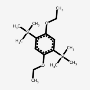 CCOc1cc([Si](C)(C)C)c(OCC)cc1[Si](C)(C)C